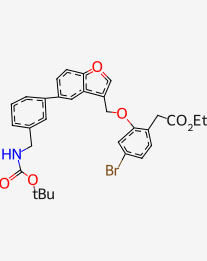 CCOC(=O)Cc1ccc(Br)cc1OCc1coc2ccc(-c3cccc(CNC(=O)OC(C)(C)C)c3)cc12